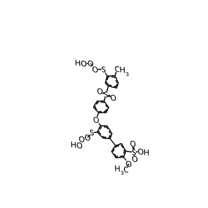 COc1ccc(-c2ccc(Oc3ccc(S(=O)(=O)c4ccc(C)c(SOOO)c4)cc3)c(SOOO)c2)cc1S(=O)(=O)O